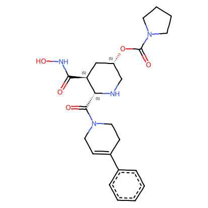 O=C(NO)[C@H]1C[C@H](OC(=O)N2CCCC2)CN[C@@H]1C(=O)N1CC=C(c2ccccc2)CC1